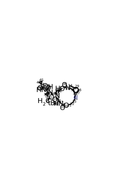 C=C[C@@H]1C[C@]1(NC(=O)[C@@H]1C[C@@H]2CN1C(=O)[C@H](C(C)(C)C)NC(=O)OCCC/C=C\c1cccc3c1CN(C3)C(=O)O2)C(=O)NS(=O)(=O)C1CC1